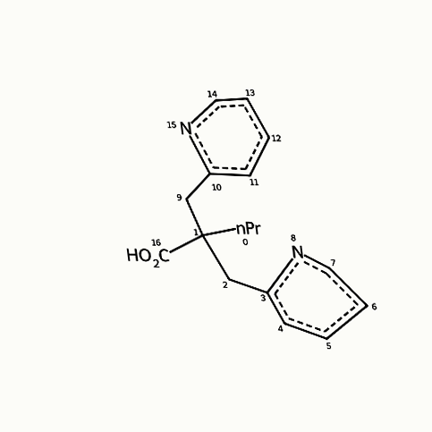 CCCC(Cc1ccccn1)(Cc1ccccn1)C(=O)O